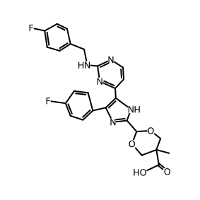 CC1(C(=O)O)COC(c2nc(-c3ccc(F)cc3)c(-c3ccnc(NCc4ccc(F)cc4)n3)[nH]2)OC1